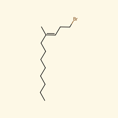 CCCCCCCCC(C)=CCCBr